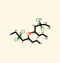 CCCC(CC(Cl)(Cl)CC)OC(CCC)CC(Cl)(Cl)CC